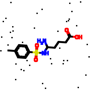 Cc1ccc(S(=O)(=O)NC(N)CCCC(=O)O)cc1